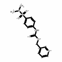 CN(C)S(=O)(=O)c1ccc(NC(=S)OCc2cccnc2)cc1